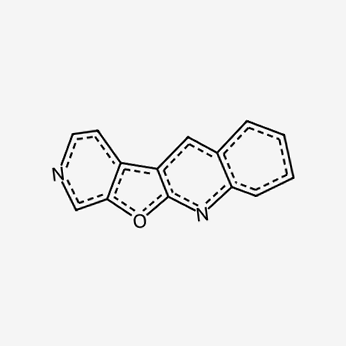 c1ccc2nc3oc4cnccc4c3cc2c1